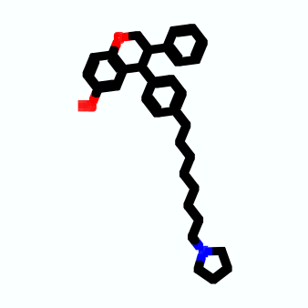 Oc1ccc2c(c1)C(c1ccc(CCCCCCCCN3CCCC3)cc1)C(c1ccccc1)CO2